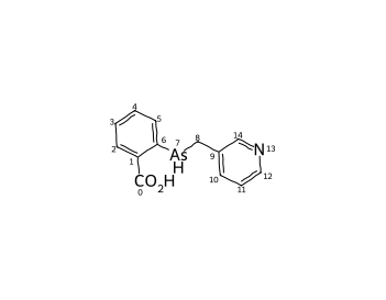 O=C(O)c1ccccc1[AsH]Cc1cccnc1